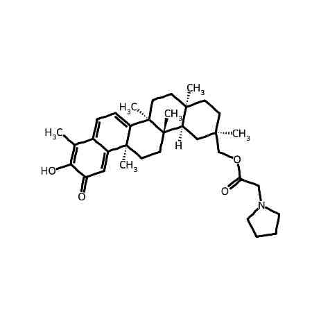 CC1=C(O)C(=O)C=C2C1=CC=C1[C@@]2(C)CC[C@@]2(C)[C@@H]3C[C@](C)(COC(=O)CN4CCCC4)CC[C@]3(C)CC[C@]12C